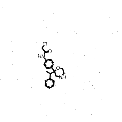 CC(c1ccccc1)C1(c2ccc(NC(=O)CCl)cc2)CNCCO1